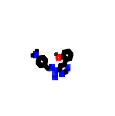 COc1ccccc1-c1cc(N/N=C/c2ccc(N(C)C)cc2)ncn1